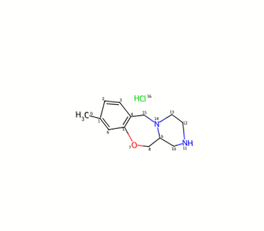 Cc1ccc2c(c1)OCC1CNCCN1C2.Cl